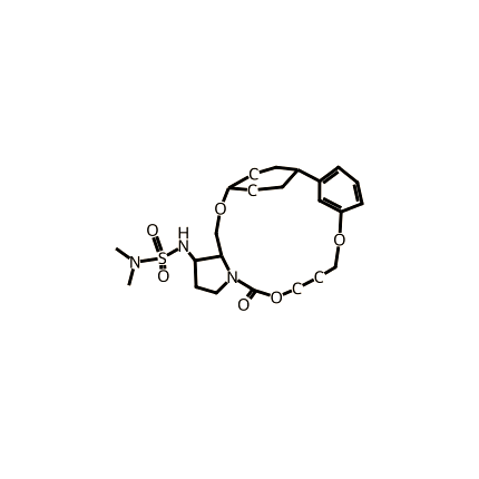 CN(C)S(=O)(=O)NC1CCN2C(=O)OCCCOc3cccc(c3)C3CCC(CC3)OCC12